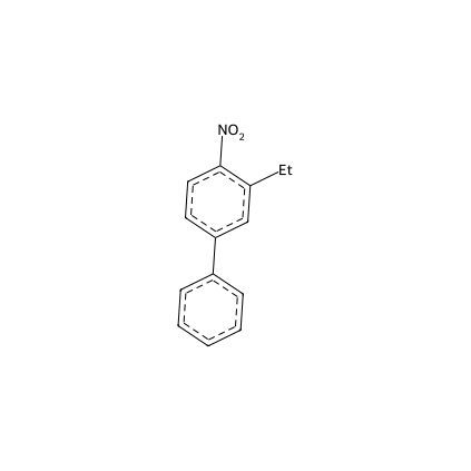 CCc1cc(-c2ccccc2)ccc1[N+](=O)[O-]